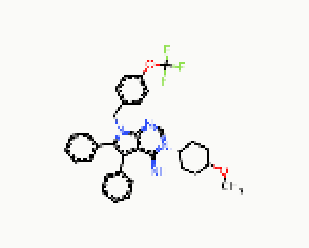 CO[C@H]1CC[C@H](n2cnc3c(c(-c4ccccc4)c(-c4ccccc4)n3Cc3ccc(OC(F)(F)F)cc3)c2=N)CC1